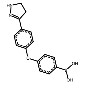 OB(O)c1ccc(Oc2ccc(C3=NNCC3)cc2)cc1